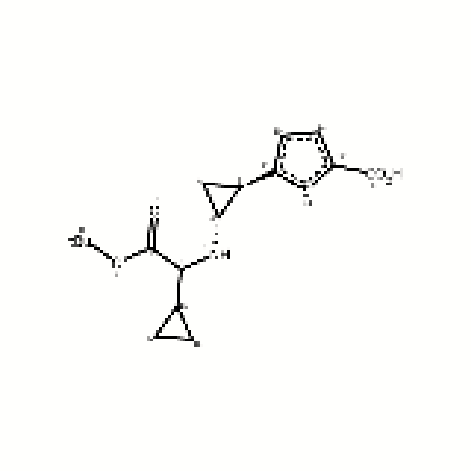 CC(C)(C)OC(=O)C(N[C@@H]1C[C@H]1c1ccc(C(=O)O)s1)C1CC1